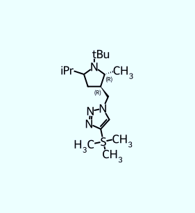 CC(C)C1C[C@H](Cn2cc(S(C)(C)C)nn2)[C@@H](C)N1C(C)(C)C